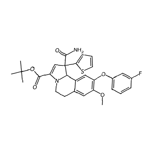 COc1cc2c(cc1Oc1cccc(F)c1)C1N(CC2)C(C(=O)OC(C)(C)C)=CC1(C(N)=O)c1cccs1